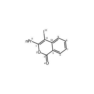 CCCc1oc(=O)c2ccccc2c1I